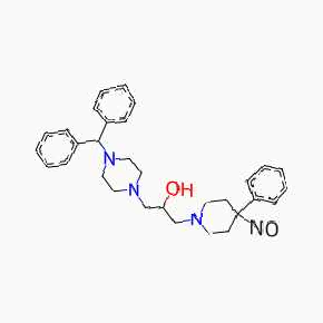 O=NC1(c2ccccc2)CCN(CC(O)CN2CCN(C(c3ccccc3)c3ccccc3)CC2)CC1